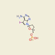 Nc1ncnc2c1c(I)cn2[C@H]1CC[C@@H](CO[PH](=O)O)O1